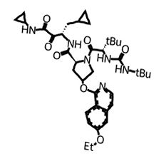 CCOc1ccc2c(OC3C[C@@H](C(=O)N[C@@H](CC4CC4)C(=O)C(=O)NC4CC4)N(C(=O)[C@@H](NC(=O)NC(C)(C)C)C(C)(C)C)C3)nccc2c1